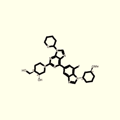 CO[C@H]1CCC[C@H](n2cnc3cc(-c4nc(N5CC[C@H](CO)[C@@H](O)C5)nc5c4ncn5C4CCCCO4)cc(F)c32)C1